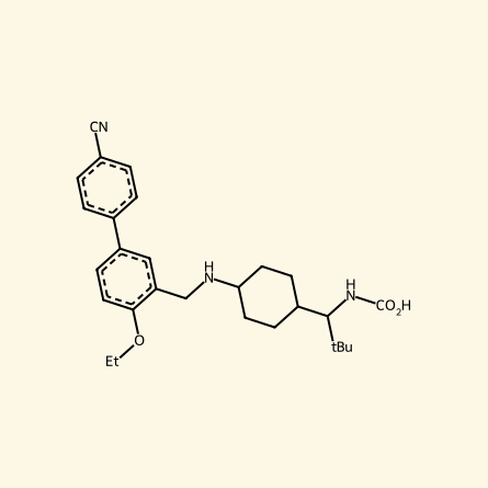 CCOc1ccc(-c2ccc(C#N)cc2)cc1CNC1CCC(C(NC(=O)O)C(C)(C)C)CC1